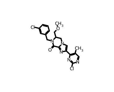 COCC1Cn2cc(-c3nc(Cl)ncc3C)nc2C(=O)N1Cc1cccc(Cl)c1